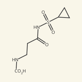 O=C(O)NCCC(=O)NS(=O)(=O)C1CC1